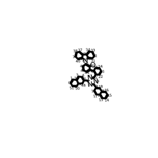 C1=CC2=CC=C(c3nc(-c4ccc5ccccc5c4)nc(-c4cccc5oc6c(-n7c8ccccc8c8ccccc87)cccc6c45)n3)CC2C=C1